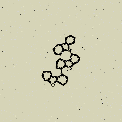 c1ccc2c(c1)oc1cccc(-c3cccc4c3sc3cccc(-n5c6ccccc6c6ccccc65)c34)c12